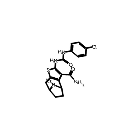 CCN1C2CCC1c1c(sc(NC(=O)Nc3ccc(Cl)cc3)c1C(N)=O)C2